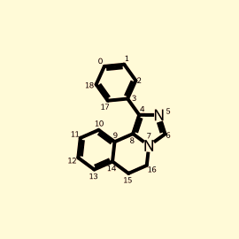 c1ccc(-c2ncn3c2-c2ccccc2CC3)cc1